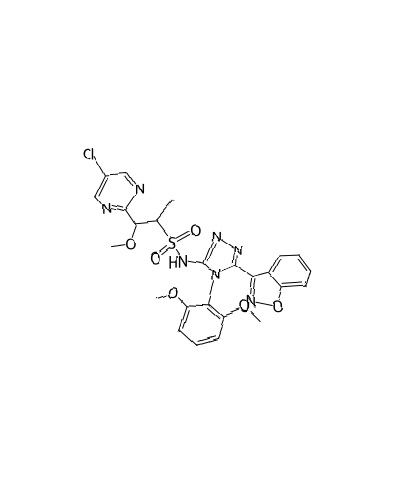 COc1cccc(OC)c1-n1c(NS(=O)(=O)C(C)C(OC)c2ncc(Cl)cn2)nnc1-c1noc2ccccc12